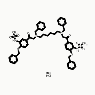 CS(=O)(=O)Nc1cc(C(=O)CN(CCCCCCN(CC(=O)c2ccc(OCc3ccccc3)c(NS(C)(=O)=O)c2)Cc2ccccc2)Cc2ccccc2)ccc1OCc1ccccc1.Cl.Cl